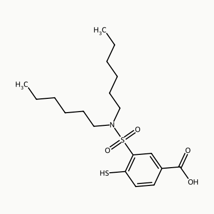 CCCCCCN(CCCCCC)S(=O)(=O)c1cc(C(=O)O)ccc1S